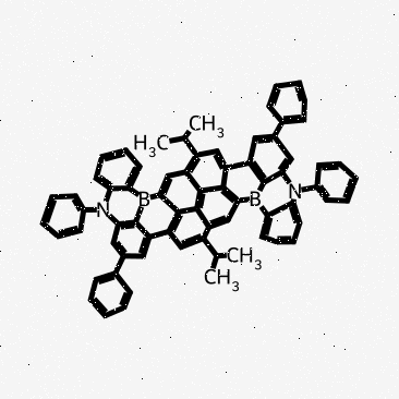 CC(C)c1cc2c3c(cc4c(C(C)C)cc5c6c(cc1c3c46)B1c3ccccc3N(c3ccccc3)c3cc(-c4ccccc4)cc-5c31)B1c3ccccc3N(c3ccccc3)c3cc(-c4ccccc4)cc-2c31